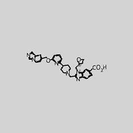 O=C(O)c1ccc2nc(CN3CCC(c4cccc(OCc5ccn6cncc6c5)n4)CC3)n(C[C@@H]3CCO3)c2c1